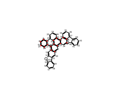 c1ccc(-c2ccccc2-c2c(-c3ccccc3)cccc2-c2ccccc2N(c2ccc(-c3cccc4c3oc3ccccc34)cc2)c2ccc3c(c2)oc2ccccc23)cc1